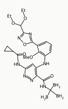 BC(B)(B)NC(=O)c1nnc(NC(=O)C2CC2)cc1Nc1cccc(-c2nc(C(OCC)OCC)no2)c1OC